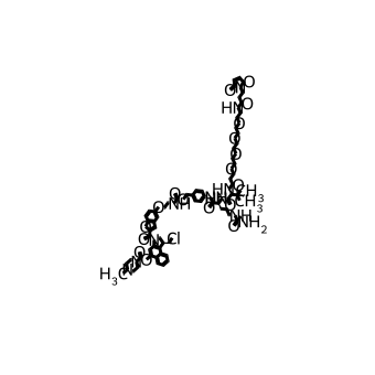 CC(C)[C@H](NC(=O)CCOCCOCCOCCOCCNC(=O)CCN1C(=O)C=CC1=O)C(=O)N[C@@H](CCCNC(N)=O)C(=O)Nc1ccc(COC(=O)NCCOc2ccc3oc(C(=O)N4C[C@@H](CCl)c5c4cc(OC(=O)N4CCN(C)CC4)c4ccccc54)cc3c2)cc1